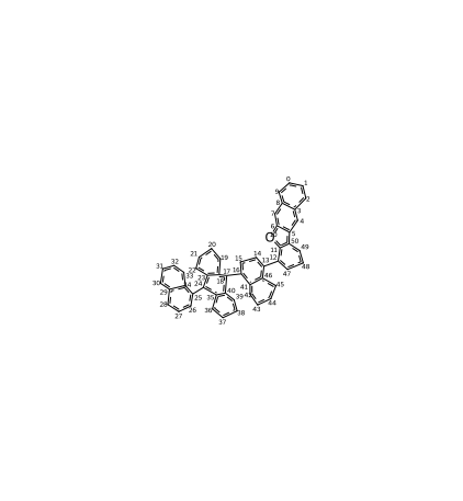 c1ccc2cc3c(cc2c1)oc1c(-c2ccc(-c4c5ccccc5c(-c5cccc6ccccc56)c5ccccc45)c4ccccc24)cccc13